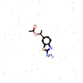 CC(=O)OC(C)c1ccc2nc(N)sc2c1